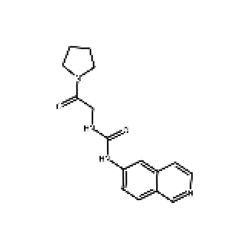 O=C(NCC(=O)N1CCCC1)Nc1ccc2cnccc2c1